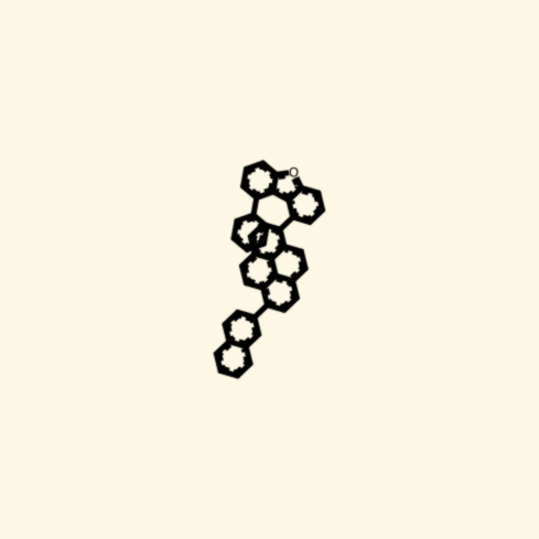 c1ccc(-c2cccc3oc4cccc(-c5ccc6ccc7c(-c8ccc9ccccc9c8)ccc8ccc5c6c87)c4c23)cc1